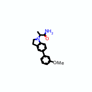 COc1cccc(-c2ccc3c(c2)CCN3C(C)C(N)=O)c1